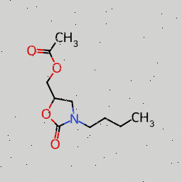 CCCCN1CC(COC(C)=O)OC1=O